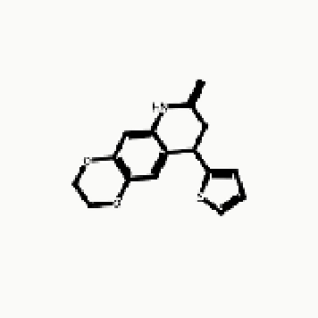 C=C1CC(c2cccs2)c2cc3c(cc2N1)OCCO3